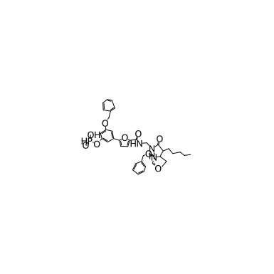 CCCCCC(C(=O)NCNC(=O)c1ccc(-c2cc(OCc3ccccc3)cc(O[PH](=O)O)c2)o1)C(CC)N(C=O)OCc1ccccc1